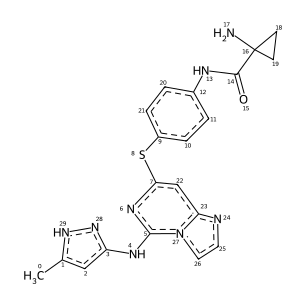 Cc1cc(Nc2nc(Sc3ccc(NC(=O)C4(N)CC4)cc3)cc3nccn23)n[nH]1